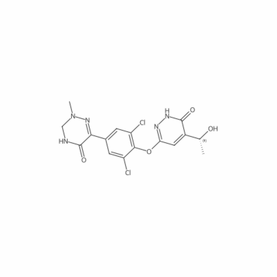 C[C@@H](O)c1cc(Oc2c(Cl)cc(C3=NN(C)CNC3=O)cc2Cl)n[nH]c1=O